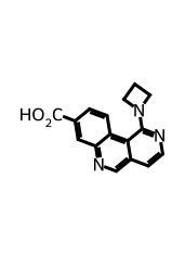 O=C(O)c1ccc2c(c1)ncc1ccnc(N3CCC3)c12